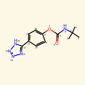 CC(C)(C)NC(=O)Oc1ccc(-c2nnn[nH]2)cc1